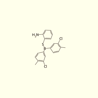 Cc1ccc(B(Sc2ccccc2N)c2ccc(C)c(Cl)c2)cc1Cl